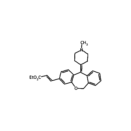 CCOC(=O)C=Cc1ccc2c(c1)OCc1ccccc1C2=C1CCN(C)CC1